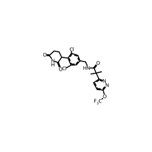 CC(C)(C(=O)NCc1cc(Cl)c(C2CCC(=O)NC2=O)c(Cl)c1)c1ccc(OC(F)(F)F)nn1